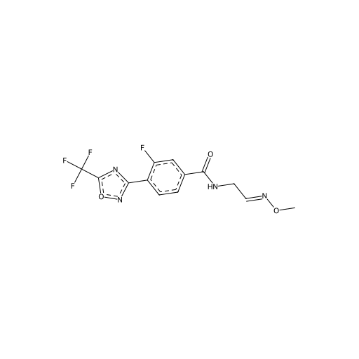 CON=CCNC(=O)c1ccc(-c2noc(C(F)(F)F)n2)c(F)c1